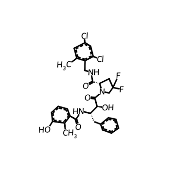 Cc1cc(Cl)cc(Cl)c1CNC(=O)[C@@H]1CC(F)(F)CN1C(=O)[C@@H](O)[C@H](Cc1ccccc1)NC(=O)c1cccc(O)c1C